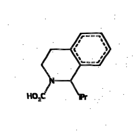 CC(C)C1c2ccccc2CCN1C(=O)O